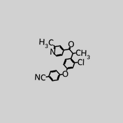 Cc1cc(C(=O)C(C)c2ccc(Oc3ccc(C#N)cc3)cc2Cl)ccn1